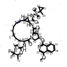 CC[C@@H]1C[C@H](C)CC/C=C\[C@@H]2C[C@@]2(C(=O)NS(=O)(=O)C2(C)CC2)NC(=O)[C@@H]2C[C@@H](Oc3ncc(OC)c4ccccc34)CN2C(=O)[C@H]1NC(=O)OC(C)C(F)(F)F